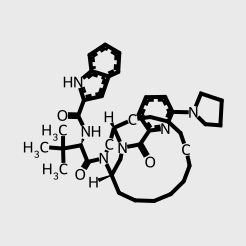 CC(C)(C)[C@H](NC(=O)c1cc2ccccc2[nH]1)C(=O)N1C[C@@H]2CCCCCCCCCCC[C@H]1CN2C(=O)c1cccc(N2CCCC2)n1